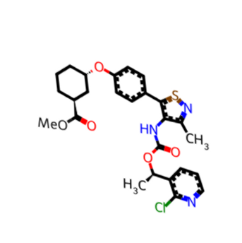 COC(=O)[C@H]1CCC[C@H](Oc2ccc(-c3snc(C)c3NC(=O)O[C@H](C)c3cccnc3Cl)cc2)C1